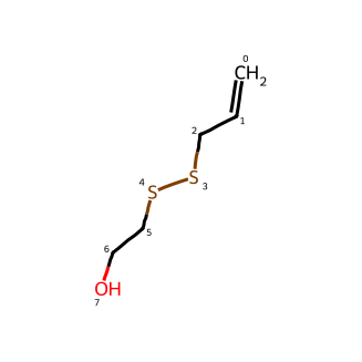 C=CCSSCCO